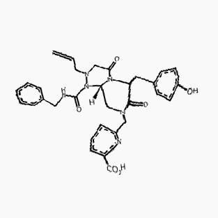 C=CCN1CC(=O)N2C(Cc3ccc(O)cc3)C(=O)N(Cc3cccc(C(=O)O)n3)C[C@@H]2N1C(=O)NCc1ccccc1